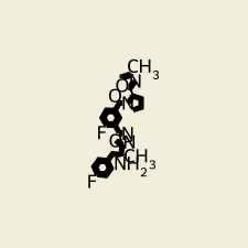 Cc1coc([C@H]2CCCN2C(=O)c2ccc(F)c(-c3nnc([C@@](C)(N)Cc4ccc(F)cc4)o3)c2)n1